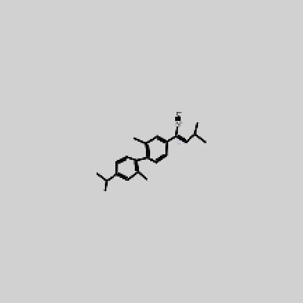 [C-]#[N+]/C(=C\C(C)C)c1ccc(-c2ccc(C(C)C)cc2C)c(C)c1